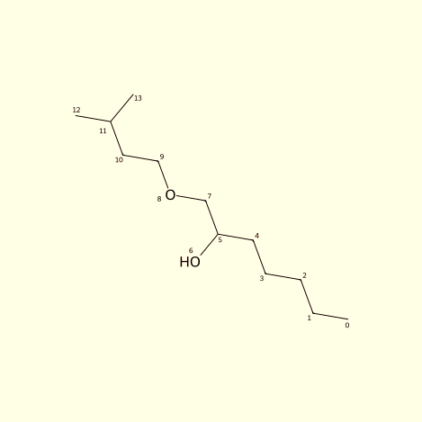 CCCCCC(O)COCCC(C)C